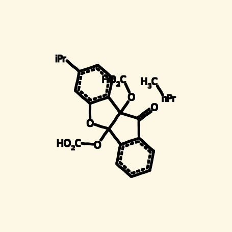 CC(C)c1ccc2c(c1)OC1(OC(=O)O)c3ccccc3C(=O)C21OC(=O)O.CCCC